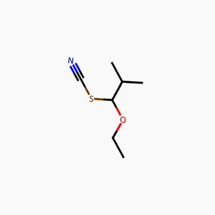 CCOC(SC#N)C(C)C